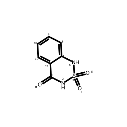 O=C1NS(=O)(=O)Nc2ccccc21